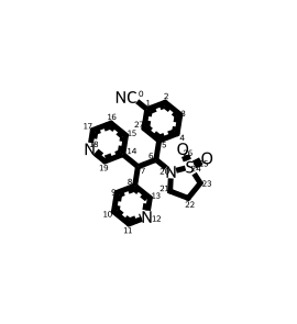 N#Cc1cccc(C(C(c2cccnc2)c2cccnc2)N2CCCS2(=O)=O)c1